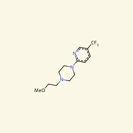 COCCN1CCN(c2ccc(C(F)(F)F)cn2)CC1